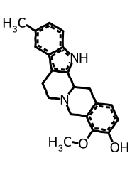 COc1c(O)ccc2c1CN1CCc3c([nH]c4ccc(C)cc34)C1C2